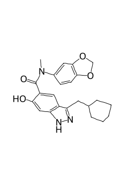 CN(C(=O)c1cc2c(CC3CCCCC3)n[nH]c2cc1O)c1ccc2c(c1)OCO2